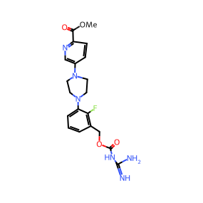 COC(=O)c1ccc(N2CCN(c3cccc(COC(=O)NC(=N)N)c3F)CC2)cn1